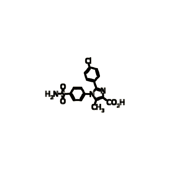 Cc1c(C(=O)O)nc(-c2ccc(Cl)cc2)n1-c1ccc(S(N)(=O)=O)cc1